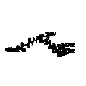 CCCCCCCCCOC(=O)CCCCCCCN(CCCO)CCCCCCOC(=O)OC(CCCCCCCC)CCCCCCCC